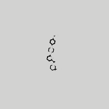 COc1ccc(N2CCN(c3cccc(C(=O)N4CCCC(C)(C)C4)n3)CC2)cc1